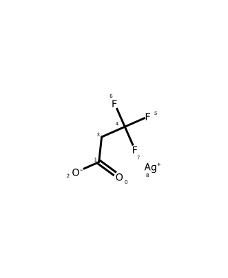 O=C([O-])CC(F)(F)F.[Ag+]